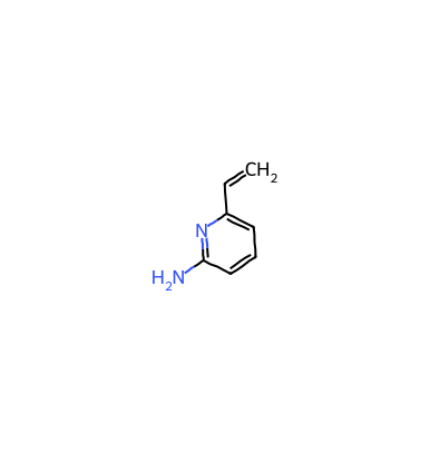 C=Cc1cccc(N)n1